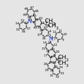 CC1(C)c2cc(N(c3ccccc3)c3ccc4cc5c(cc4c3)C(C)(C)c3c-5ccc4ccccc34)ccc2-c2cc3c(cc21)c1ccccc1n3-c1ccccc1